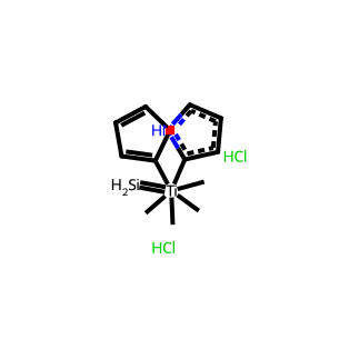 Cl.Cl.[CH3][Ti]([CH3])([CH3])([CH3])(=[SiH2])([C]1=CC=CC1)[c]1ccc[nH]1